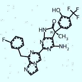 C[C@]1(c2ccc(C(F)(F)F)c(O)c2)C(=O)Nc2nc(-c3cn4ccnc4c(Cc4cccc(F)c4)n3)nc(N)c21